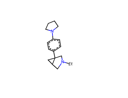 CCN1CC2CC2(c2ccc(N3CCCC3)cc2)C1